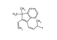 C=CC1=C(/C=C\C(C)I)c2ccccc2C1(C)C